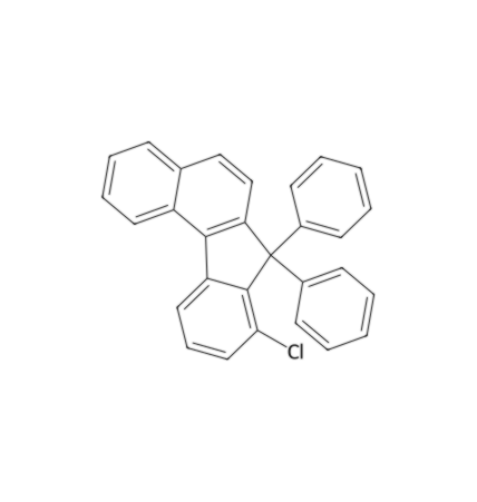 Clc1cccc2c1C(c1ccccc1)(c1ccccc1)c1ccc3ccccc3c1-2